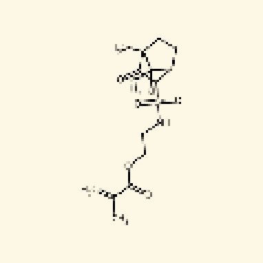 C=C(C)C(=O)OCCNS(=O)(=O)C1C(=O)C2(C)CCC1C2(C)C